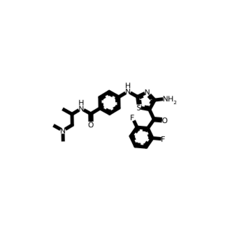 CC(CN(C)C)NC(=O)c1ccc(Nc2nc(N)c(C(=O)c3c(F)cccc3F)s2)cc1